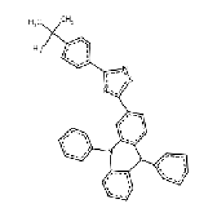 CC(C)(C)c1ccc(-c2nsc(-c3ccc4c(c3)N(c3ccccc3)c3ccccc3N4c3ccccc3)n2)cc1